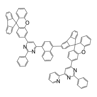 c1ccc(-c2nc(-c3ccc4c(c3)Oc3ccccc3C43c4ccccc4-c4cc(-c5ccc(-c6cc(-c7ccc8c(c7)Oc7ccccc7C87c8ccccc8-c8ccccc87)nc(-c7ccccc7)n6)c6ccccc56)ccc43)cc(-c3ccccn3)n2)cc1